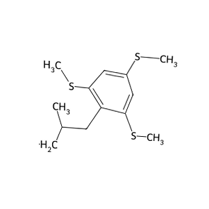 [CH2]C(C)Cc1c(SC)cc(SC)cc1SC